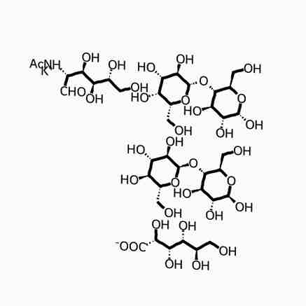 CC(=O)N[C@@H](C=O)[C@@H](O)[C@H](O)[C@H](O)CO.O=C([O-])[C@H](O)[C@@H](O)[C@H](O)[C@H](O)CO.OC[C@H]1O[C@@H](O[C@H]2[C@H](O)[C@@H](O)[C@@H](O)O[C@@H]2CO)[C@H](O)[C@@H](O)[C@H]1O.OC[C@H]1O[C@H](O[C@H]2[C@H](O)[C@@H](O)[C@H](O)O[C@@H]2CO)[C@H](O)[C@@H](O)[C@@H]1O.[K+]